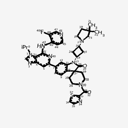 CC(C)n1cnc2cc(-c3ccc4c(c3)N([C@H]3C[C@@H](N5CCC(C)(C)C5)C3)C(=O)C43CCN(C(=O)c4nccs4)CC3)nc(Nc3ccncc3F)c21